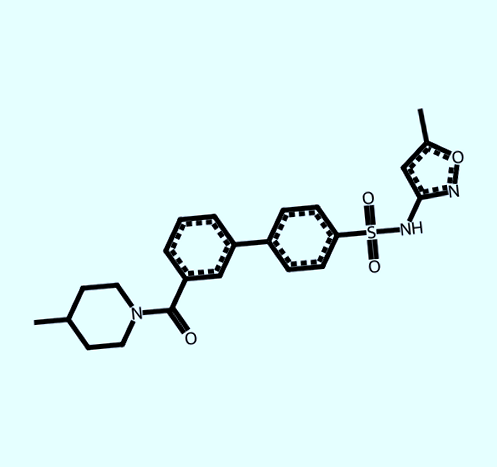 Cc1cc(NS(=O)(=O)c2ccc(-c3cccc(C(=O)N4CCC(C)CC4)c3)cc2)no1